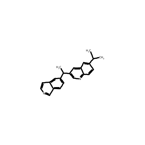 CC(C)c1ccc2ncc(C(C)c3ccc4cnccc4c3)cc2c1